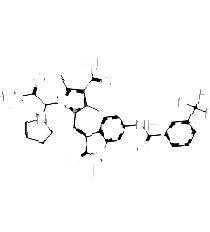 Cc1c(C(=O)O)c(C)n(C(C(N)=O)N2CCCC2)c1C=C1C(=O)Nc2cc(NC(=O)c3cccc(C(F)(F)F)c3)ccc21